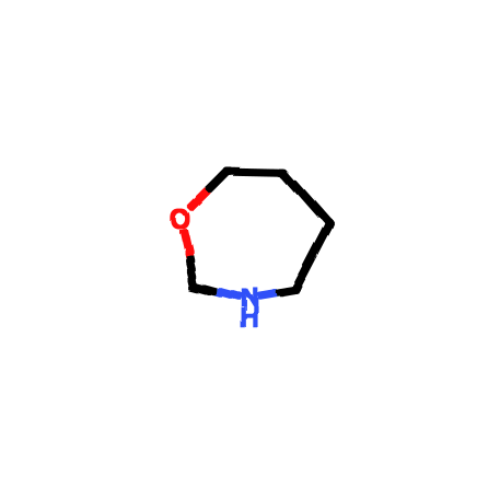 C1CCOCNC1